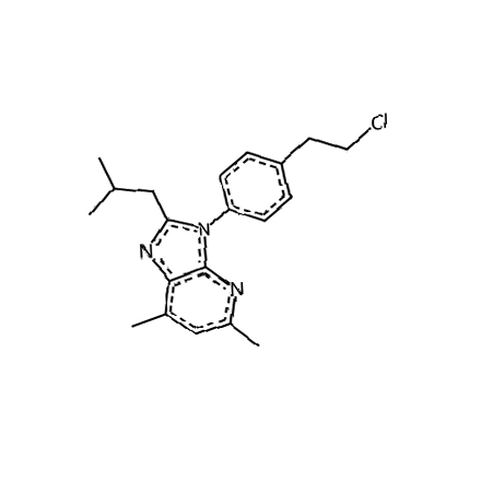 Cc1cc(C)c2nc(CC(C)C)n(-c3ccc(CCCl)cc3)c2n1